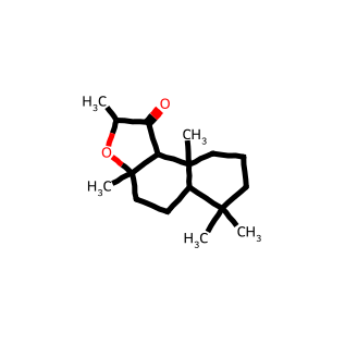 CC1OC2(C)CCC3C(C)(C)CCCC3(C)C2C1=O